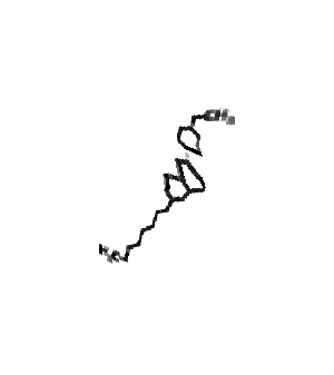 CCCCCCCCc1ccc2cc([C@H]3CC[C@H](CC)CC3)ccc2c1